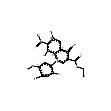 CCOC(=O)c1cn(-c2cc(OC)c(F)cc2F)c2c(C)c([N+](=O)[O-])c(F)cc2c1=O